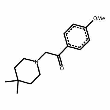 COc1ccc(C(=O)CN2CCC(C)(C)CC2)cc1